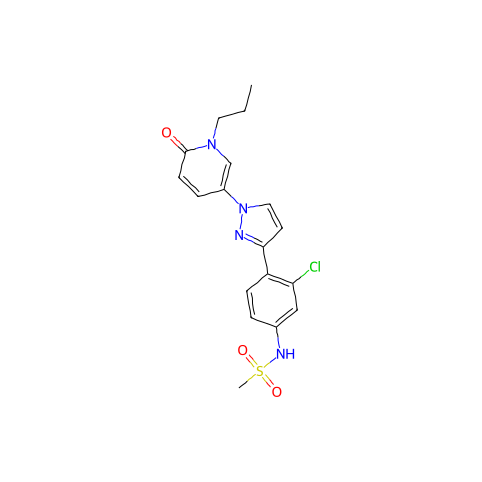 CCCn1cc(-n2ccc(-c3ccc(NS(C)(=O)=O)cc3Cl)n2)ccc1=O